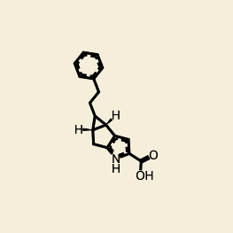 O=C(O)c1cc2c([nH]1)C[C@@H]1C(CCc3ccccc3)[C@H]21